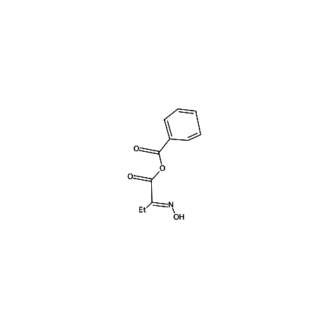 CCC(=NO)C(=O)OC(=O)c1ccccc1